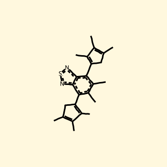 CC1=C(C)C(C)=C(c2c(C)c(C)c(C3=C(C)C(C)=C(C)C3)c3nsnc23)C1